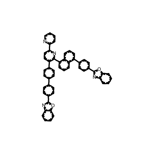 c1ccc(-c2ccc(-c3ccc(-c4ccc(-c5nc6ccccc6o5)cc4)cc3)c(-c3cccc4c(-c5ccc(-c6nc7ccccc7o6)cc5)cccc34)n2)nc1